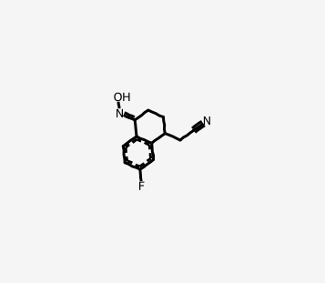 N#CCC1CCC(=NO)c2ccc(F)cc21